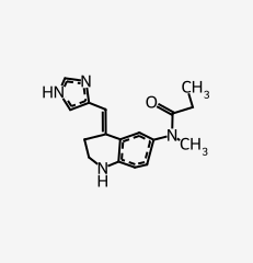 CCC(=O)N(C)c1ccc2c(c1)/C(=C/c1c[nH]cn1)CCN2